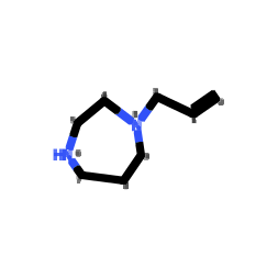 C=CCN1[CH]CNCCC1